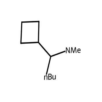 CCCCC(NC)C1CCC1